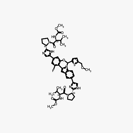 COCc1ccc(C2Oc3cc(-c4cnc([C@@H]5CCCN5C(=O)[C@@H](NC(=O)OC)C(C)C)[nH]4)cc(F)c3-c3cc4cc(-c5c[nH]c([C@@H]6CCCN6C(=O)[C@@H](NC(=O)OC)C(C)C)n5)ccc4n32)s1